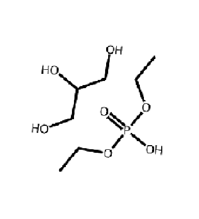 CCOP(=O)(O)OCC.OCC(O)CO